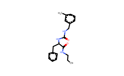 Cc1cccc(CNC(=O)NC(Cc2ccccc2)C(=O)NCCC#N)c1